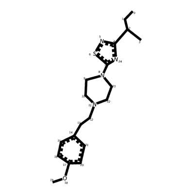 CCC(C)c1nsc(N2CCN(CCc3ccc(OC)cc3)CC2)n1